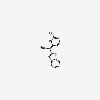 CC1=NC=C/C(=C(/C#N)c2nc3ccccc3s2)N1